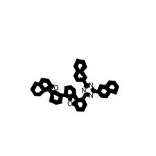 C1=Cc2ccc3oc4c(-c5cccc6c5oc5cccc(-c7nc(-c8ccc9ccccc9c8)nc(-c8ccc9ccccc9c8)n7)c56)cccc4c3c2CC1